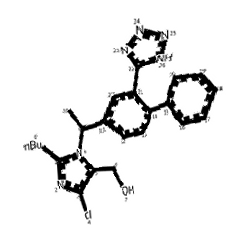 CCCCc1nc(Cl)c(CO)n1C(C)c1ccc(-c2ccccc2)c(-c2nnn[nH]2)c1